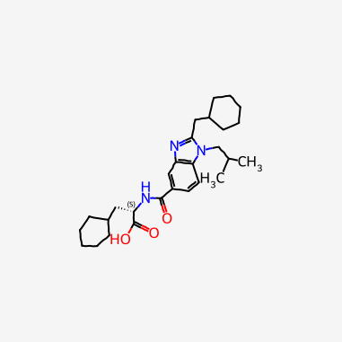 CC(C)Cn1c(CC2CCCCC2)nc2cc(C(=O)N[C@@H](CC3CCCCC3)C(=O)O)ccc21